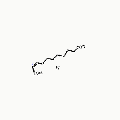 CCCCCCCC/C=C\CCCCCCCC(=O)[O-].[K+]